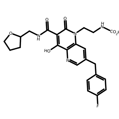 O=C(O)NCCn1c(=O)c(C(=O)NCC2CCCO2)c(O)c2ncc(Cc3ccc(F)cc3)cc21